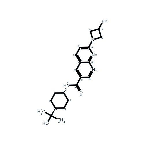 CC(C)(O)[C@H]1CC[C@H](NC(=O)c2cnc3nc(N4CC(F)C4)ccc3c2)CC1